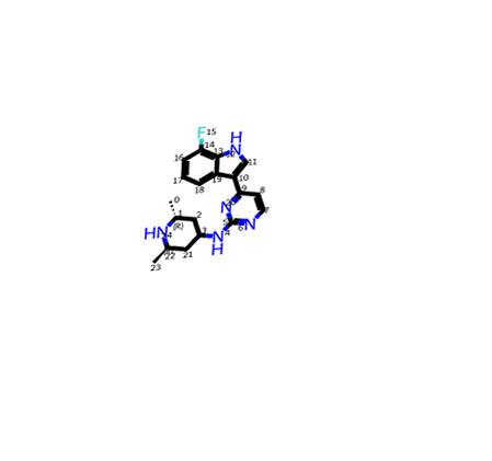 C[C@@H]1CC(Nc2nccc(-c3c[nH]c4c(F)cccc34)n2)C[C@@H](C)N1